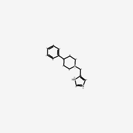 c1ccc(C2CCN(Cc3cnc[nH]3)CC2)cc1